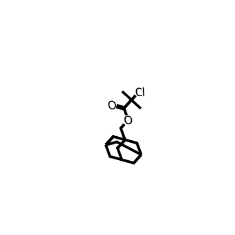 CC(C)(Cl)C(=O)OCC12CC3CC(CC(C3)C1)C2